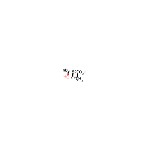 CC(=O)O.CC(C)=O.CCCCO